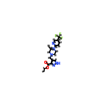 CCOC(=O)c1n[nH]cc1CN1CCN(c2ccc(C(F)(F)F)cn2)[C@H](C)C1